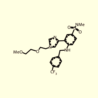 CNS(=O)(=O)c1ccc(NCc2ccc(C(F)(F)F)cc2)c(-c2cn(CCOCCOC)cn2)c1